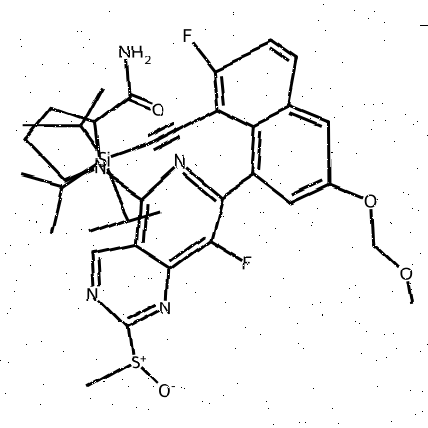 COCOc1cc(-c2nc(N3CCCC3C(N)=O)c3cnc([S+](C)[O-])nc3c2F)c2c(C#C[Si](C(C)C)(C(C)C)C(C)C)c(F)ccc2c1